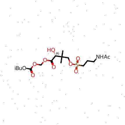 CC(=O)NCCCS(=O)(=O)OCC(C)(C)[C@@H](O)C(=O)OCOC(=O)OCC(C)C